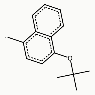 [CH2]c1ccc(OC(C)(C)C)c2ccccc12